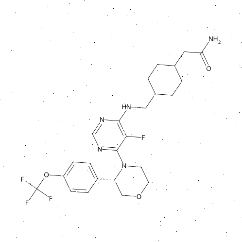 NC(=O)CC1CCC(CNc2ncnc(N3CCOC[C@@H]3c3ccc(OC(F)(F)F)cc3)c2F)CC1